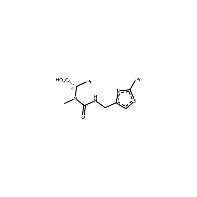 CC(C)c1nc(CNC(=O)N(C)[C@H](C(=O)O)C(C)C)cs1